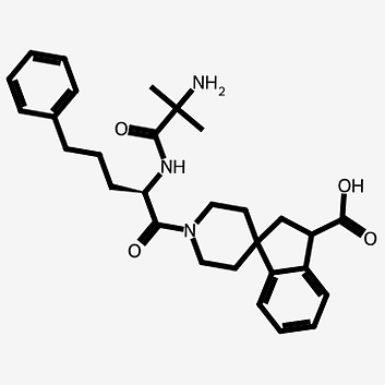 CC(C)(N)C(=O)N[C@H](CCCc1ccccc1)C(=O)N1CCC2(CC1)CC(C(=O)O)c1ccccc12